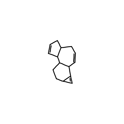 C1=CC2C3=C[C]3CCC2C2C=CCC2C1